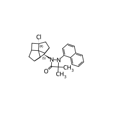 CC1(C)C(=O)N([C@H]2C3CC4C[C@@]5(Cl)CC2CC45C3)N1c1cccc2ccccc12